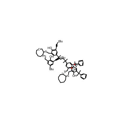 CC(C)(C)C#Cc1cc(C(C)(C)CCC(C)(C)c2cc(CS[C@H]3CCCCCCC3SCc3cc(C(C)(C)C)cc(C(C)(C)c4ccccc4)c3O)c(O)c(C(C)(C)c3ccccc3)c2)cc(CSC2CCCCCC[C@@H]2SCc2cc(C(C)(C)C)cc(C#CC(C)(C)C)c2O)c1O